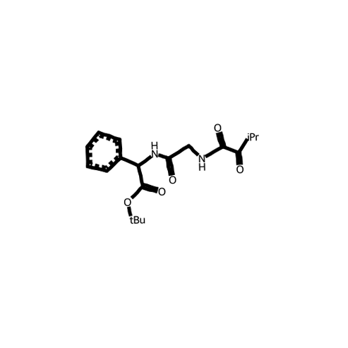 CC(C)C(=O)C(=O)NCC(=O)NC(C(=O)OC(C)(C)C)c1ccccc1